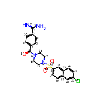 N=C(N)c1ccc(C(=O)N2CCN(S(=O)(=O)c3ccc4cc(Cl)ccc4c3)CC2)cc1